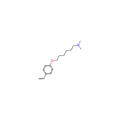 C=Cc1ccc(OCCCCCCN(C)C)cc1